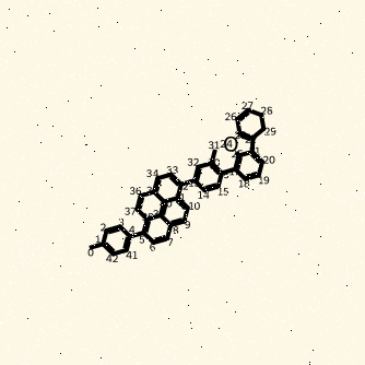 Cc1ccc(-c2ccc3ccc4c(-c5ccc(-c6cccc7c8c(oc67)C=CCC8)c(C)c5)ccc5ccc2c3c54)cc1